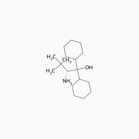 CC(C)(C)[C@@H](N)C(O)(C1CCCCC1)C1CCCCC1